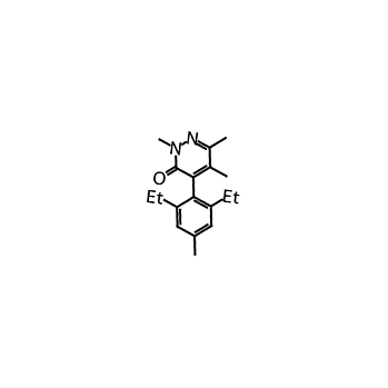 CCc1cc(C)cc(CC)c1-c1c(C)c(C)nn(C)c1=O